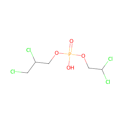 O=P(O)(OCC(Cl)Cl)OCC(Cl)CCl